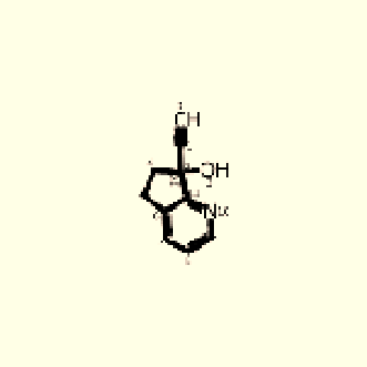 C#C[C@@]1(O)CCc2cccnc21